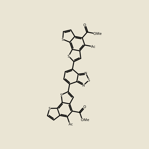 COC(=O)c1c(C(C)=O)c2cc(-c3ccc(-c4cc5c(C(=O)OC)c(C(C)=O)c6ccsc6c5s4)c4nsnc34)sc2c2sccc12